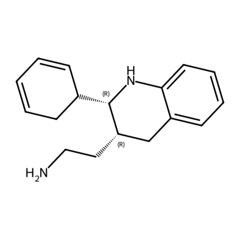 NCC[C@H]1Cc2ccccc2N[C@H]1C1C=CC=CC1